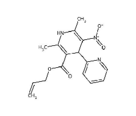 C=CCOC(=O)C1=C(C)NC(C)=C([N+](=O)[O-])C1c1ccccn1